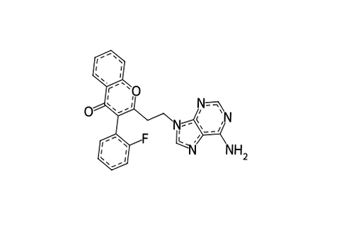 Nc1ncnc2c1ncn2CCc1oc2ccccc2c(=O)c1-c1ccccc1F